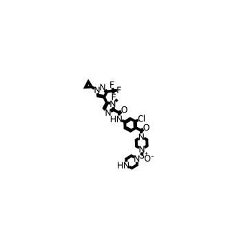 Cn1c(-c2cn(C3CC3)nc2C(F)(F)F)cnc1C(=O)Nc1ccc(C(=O)N2CCN([S+]([O-])N3CCNCC3)CC2)c(Cl)c1